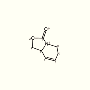 O=C1OCC2C=CCCN12